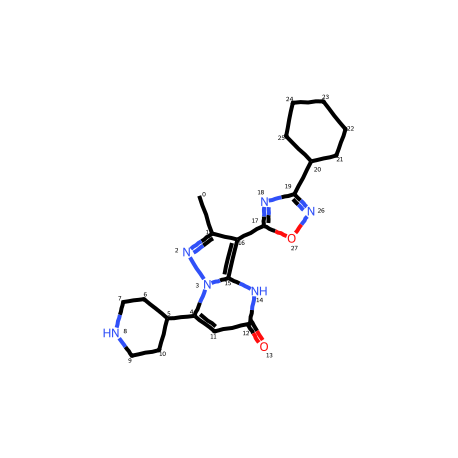 Cc1nn2c(C3CCNCC3)cc(=O)[nH]c2c1-c1nc(C2CCCCC2)no1